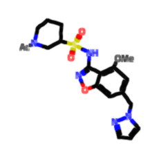 COc1cc(Cn2cccn2)cc2onc(NS(=O)(=O)C3CCCN(C(C)=O)C3)c12